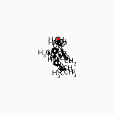 CCCOCCN1C(=O)C(NC)(NC)Oc2cc(NC)c(C(=O)N(C(C)C)[C@@H]3CCCN(OC(=O)C(C)(C)C)C3)cc21